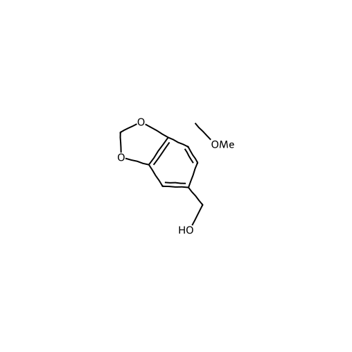 COC.OCc1ccc2c(c1)OCO2